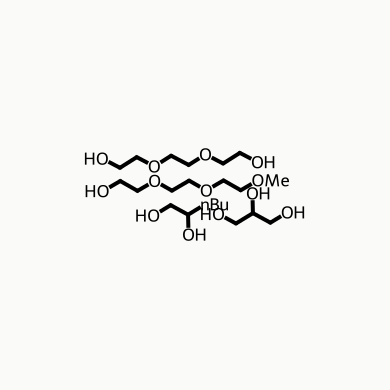 CCCCC(O)CO.COCCOCCOCCO.OCC(O)CO.OCCOCCOCCO